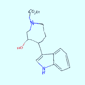 CCOC(=O)N1CCC(c2c[nH]c3ccccc23)C(O)C1